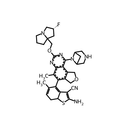 CC1=CCC2SC(N)=C(C#N)C2=C1c1c2c(c3c(N4C5CNCC4C5)nc(OCC45CCCN4C[C@H](F)C5)nc3c1C)COC2